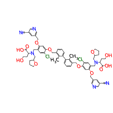 Cc1c(COc2cc(OCc3cncc(C#N)c3)c(CN(CC3CCCO3)C(CCO)C(=O)O)cc2Cl)cccc1-c1cccc(COc2cc(OCc3cncc(C#N)c3)c(CN(CC3CCCO3)C(CCO)C(=O)O)cc2Cl)c1C